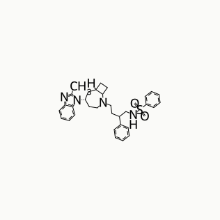 Cc1nc2ccccc2n1[C@H]1CCN(CCC(CNS(=O)(=O)c2ccccc2)c2ccccc2)C2CC[C@H]2C1